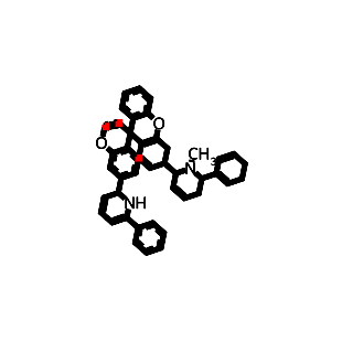 CN1C(C2=CCCC=C2)CC=CC1C1C=CC2=C(C1)Oc1ccccc1C21c2ccccc2Oc2cc(C3C=CC=C(c4ccccc4)N3)ccc21